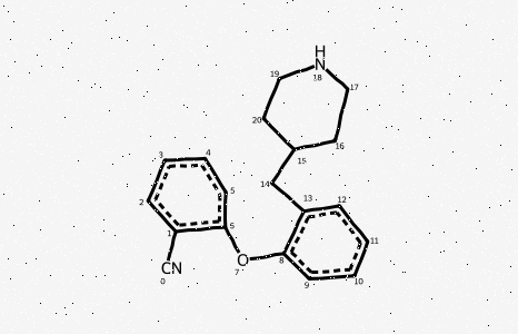 N#Cc1ccccc1Oc1ccccc1CC1CCNCC1